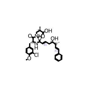 COc1ccc(C[C@@H](NC(=O)/C=C/C[C@H](O)[C@H](C)/C=C/c2ccccc2)C(=O)NC[C@@H](C)C(=O)O)cc1Cl